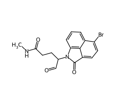 CNC(=O)CCC(C=O)N1C(=O)c2ccc(Br)c3cccc1c23